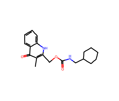 Cc1c(COC(=O)NCC2CCCCC2)[nH]c2ccccc2c1=O